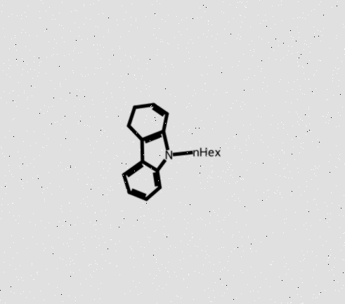 CCCCCCn1c2c(c3ccccc31)CCC=C2